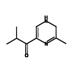 CC1=NC(C(=O)C(C)C)=CNC1